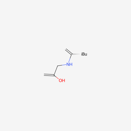 C=C(O)CNC(=C)[C@@H](C)CC